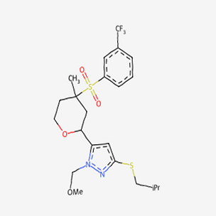 COCn1nc(SCC(C)C)cc1C1CC(C)(S(=O)(=O)c2cccc(C(F)(F)F)c2)CCO1